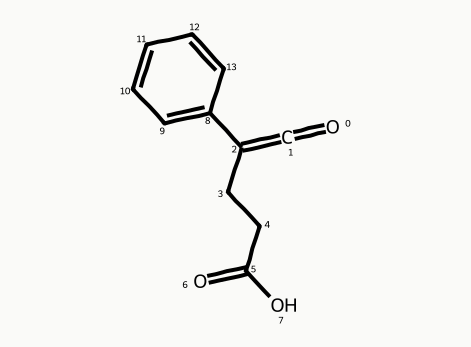 O=C=C(CCC(=O)O)c1ccccc1